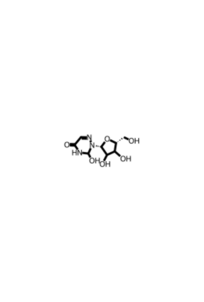 O=C1C=NN([C@@H]2O[C@H](CO)C(O)C2O)C(O)N1